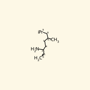 C=CC(N)CCC(C)CC(C)C